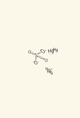 O=S(=O)([O-])[O-].[Hg+].[Hg+].[Hg].[Hg]